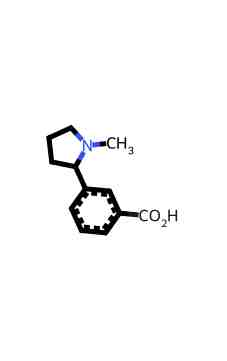 CN1CCCC1c1cccc(C(=O)O)c1